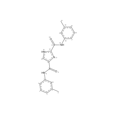 Cc1cccc(NC(=O)c2c[nH]c(C(=O)Nc3cccc(C)c3)n2)c1